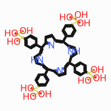 OS(O)(O)c1ccc(-c2c3nc(c(-c4ccc(S(O)(O)O)cc4)c4ccc([nH]4)c(-c4ccc(S(O)(O)O)cc4)c4nc(c(-c5ccc(S(O)(O)O)cc5)c5ccc2[nH]5)C=C4)C=C3)cc1